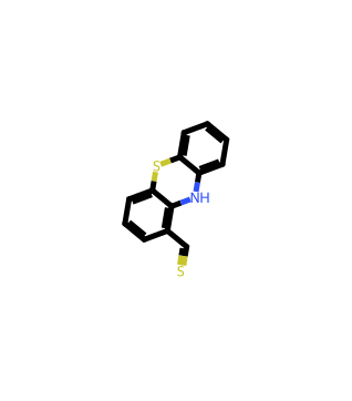 S=Cc1cccc2c1Nc1ccccc1S2